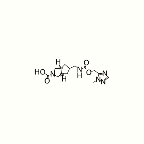 Cn1ncnc1COC(=O)NCC1C[C@@H]2CN(C(=O)O)C[C@@H]2C1